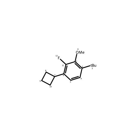 COc1c(C(C)(C)C)ccc(C2CCC2)c1F